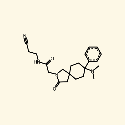 CN(C)C1(c2ccccc2)CCC2(CC1)CC(=O)N(CC(=O)NCCC#N)C2